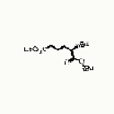 CCCCC(CCCC(=O)OCC)C(=O)OC(C)(C)C